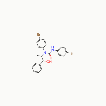 CC(C(O)c1ccccc1)N(C(=O)Nc1ccc(Br)cc1)c1ccc(Br)cc1